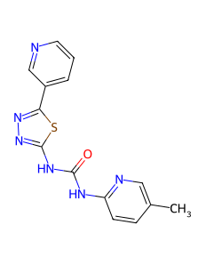 Cc1ccc(NC(=O)Nc2nnc(-c3cccnc3)s2)nc1